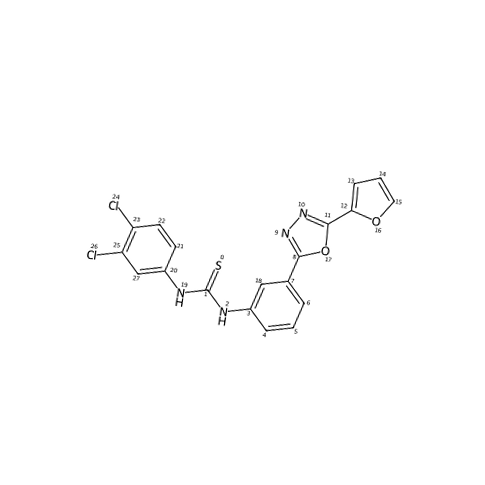 S=C(Nc1cccc(-c2nnc(-c3ccco3)o2)c1)Nc1ccc(Cl)c(Cl)c1